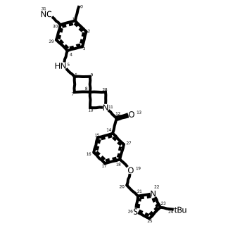 Cc1ccc(NC2CC3(C2)CN(C(=O)c2cccc(OCc4nc(C(C)(C)C)cs4)c2)C3)cc1C#N